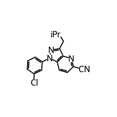 CC(C)Cc1nn(-c2cccc(Cl)c2)c2ccc(C#N)nc12